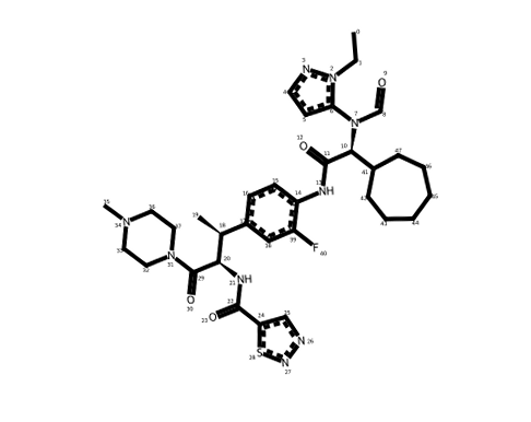 CCn1nccc1N(C=O)[C@H](C(=O)Nc1ccc([C@H](C)[C@@H](NC(=O)c2cnns2)C(=O)N2CCN(C)CC2)cc1F)C1CCCCCC1